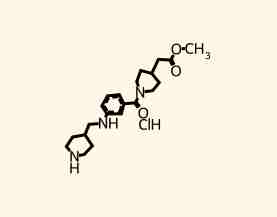 COC(=O)CC1CCN(C(=O)c2cccc(NCC3CCNCC3)c2)CC1.Cl